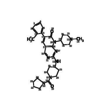 Cc1ccccc1-c1cc2cnc(NC3CCN(C(=O)N4CCCC4)CC3)nc2n(C2CCN(C)CC2)c1=O